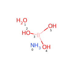 N.O.OB(O)O